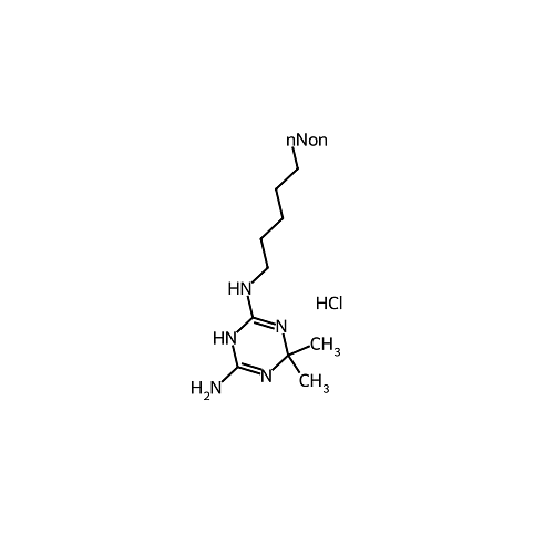 CCCCCCCCCCCCCCNC1=NC(C)(C)N=C(N)N1.Cl